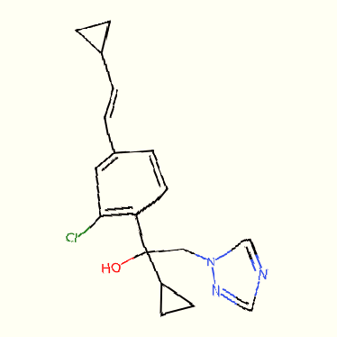 OC(Cn1cncn1)(c1ccc(/C=C/C2CC2)cc1Cl)C1CC1